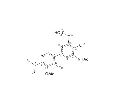 COc1c(C(F)F)ccc(-c2cc(NC(C)=O)c(Cl)c(OC(=O)O)n2)c1F